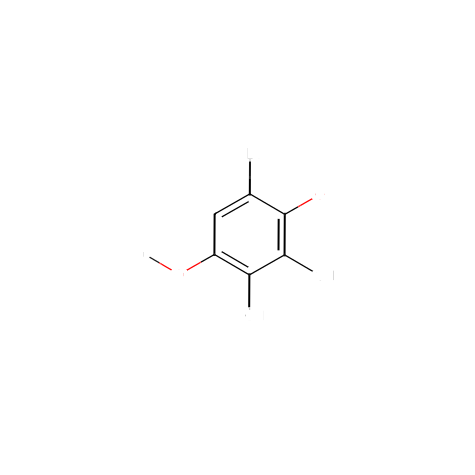 CCOc1cc(CC)c(O)c(C)c1C